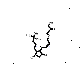 CCCCC(C)(O)C/C=C/C1C(O)CC(=O)C1C/C=C\COCC(=O)CO